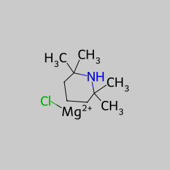 CC1(C)CCCC(C)(C)N1.[Mg+2][Cl]